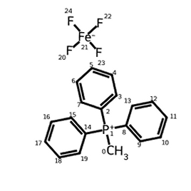 C[P+](c1ccccc1)(c1ccccc1)c1ccccc1.[F][Fe-]([F])([F])[F]